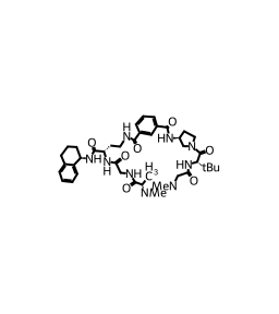 CNCC(=O)N[C@H](C(=O)N1CC[C@H](NC(=O)c2cccc(C(=O)NCC[C@H](NC(=O)CNC(=O)[C@H](C)NC)C(=O)N[C@@H]3CCCc4ccccc43)c2)C1)C(C)(C)C